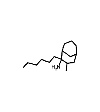 CCCCCCC1(N)C(C)CC2CCCC1C2